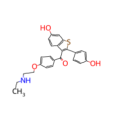 CCNCCOc1ccc(C(=O)c2c(-c3ccc(O)cc3)sc3cc(O)ccc23)cc1